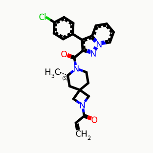 C=CC(=O)N1CC2(CCN(C(=O)c3nn4ccccc4c3-c3ccc(Cl)cc3)[C@@H](C)C2)C1